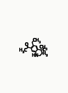 CCc1cc2c(cc1C(C)=O)NCCC2(C)C